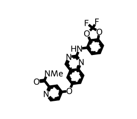 CNC(=O)c1cc(Oc2ccc3nc(Nc4cccc5c4OC(F)(F)O5)ncc3c2)ccn1